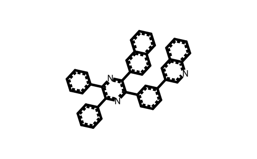 c1ccc(-c2nc(-c3cccc(-c4cnc5ccccc5c4)c3)c(-c3ccc4ccccc4c3)nc2-c2ccccc2)cc1